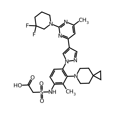 Cc1cc(-c2cnn(-c3ccc(NS(=O)(=O)CC(=O)O)c(C)c3N3CCC4(CC3)CC4)c2)nc(N2CCCC(F)(F)C2)n1